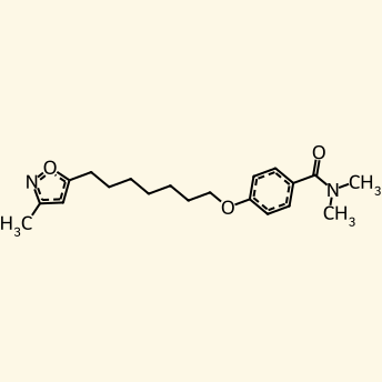 Cc1cc(CCCCCCCOc2ccc(C(=O)N(C)C)cc2)on1